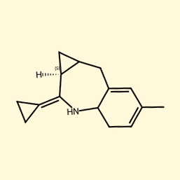 CC1=CCC2NC(=C3CC3)[C@H]3CC3CC2=C1